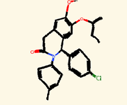 CCC(C)Oc1cc2c(cc1OC)CC(=O)N(c1ccc(C)cc1)C2c1ccc(Cl)cc1